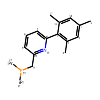 Cc1cc(C)c(-c2cccc(CP(C(C)C)C(C)C)n2)c(C)c1